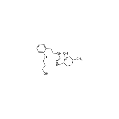 CC1CCC(C(C)C)[C@@](O)(C(=O)NCCc2ccccc2OCCCO)C1